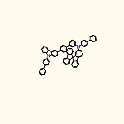 C=C(/C=C1\C(=C/C)c2ccccc2C12c1ccccc1-c1ccccc12)N(c1ccc(-c2ccccc2)cc1)c1cccc(-c2ccc(-c3ccc4c(c3)c3ccccc3n4-c3ccc(-c4ccccc4)cc3)cc2)c1